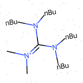 CCCCN(CCCC)C(N(CCCC)CCCC)=[N+](C)C